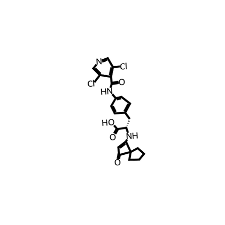 O=C(Nc1ccc(C[C@H](NC2=CC(=O)C23CCCC3)C(=O)O)cc1)c1c(Cl)cncc1Cl